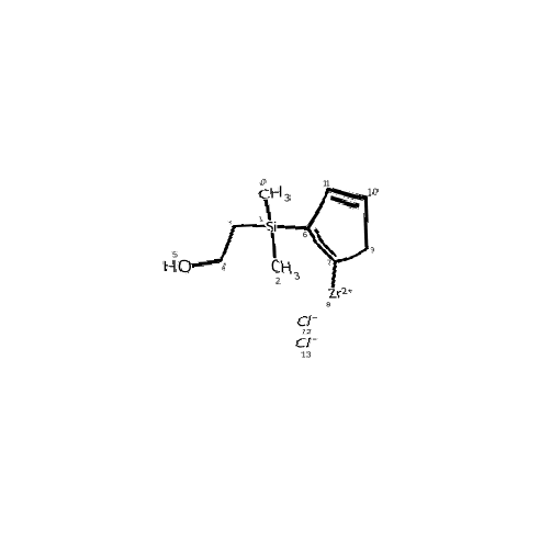 C[Si](C)(CCO)C1=[C]([Zr+2])CC=C1.[Cl-].[Cl-]